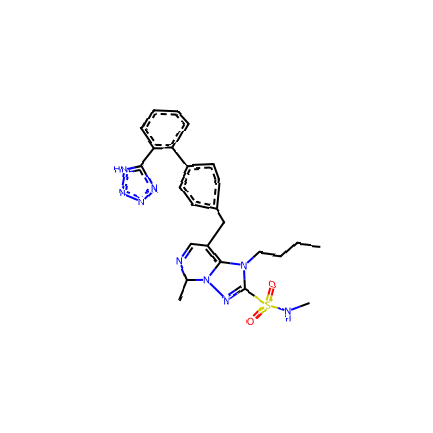 CCCCN1C(S(=O)(=O)NC)=NN2C1=C(Cc1ccc(-c3ccccc3-c3nnn[nH]3)cc1)C=NC2C